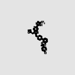 CC1(c2ccc(Cl)nc2)Oc2cccc(C3CCN(Cc4nc5cc(-c6nnc(C(F)(F)F)[nH]6)ncc5n4C[C@@H]4CCO4)CC3)c2O1